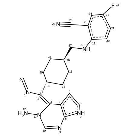 C=N/C(=C1/c2cc[nH]c2N=CN1N)[C@H]1CC[C@H](CNc2ccc(F)cc2C#N)CC1